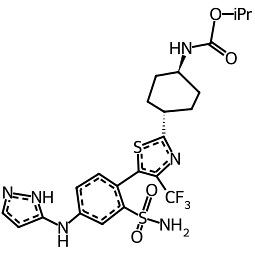 CC(C)OC(=O)N[C@H]1CC[C@H](c2nc(C(F)(F)F)c(-c3ccc(Nc4ccn[nH]4)cc3S(N)(=O)=O)s2)CC1